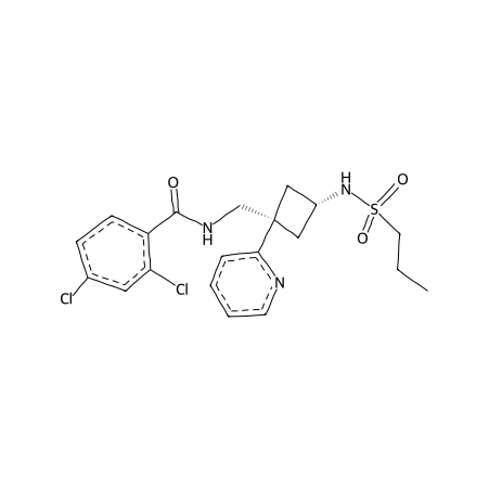 CCCS(=O)(=O)N[C@H]1C[C@](CNC(=O)c2ccc(Cl)cc2Cl)(c2ccccn2)C1